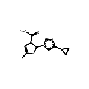 COC(=O)N1C=C(C)SC1n1cnc(C2CC2)c1